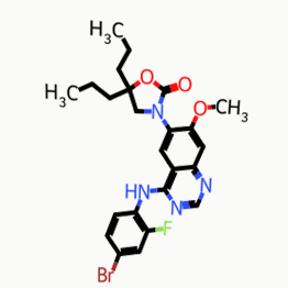 CCCC1(CCC)CN(c2cc3c(Nc4ccc(Br)cc4F)ncnc3cc2OC)C(=O)O1